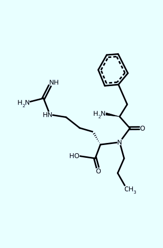 CCCN(C(=O)[C@@H](N)Cc1ccccc1)[C@@H](CCCNC(=N)N)C(=O)O